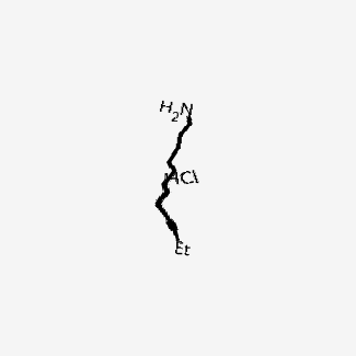 CCC#CCCCCCCCCN.Cl